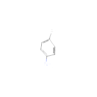 [CH2]C(=O)c1ccc(N)cc1